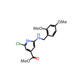 COC(=O)c1cc(Cl)nc(NCc2ccc(OC)cc2OC)c1